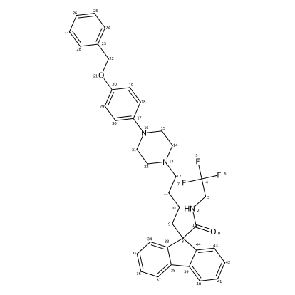 O=C(NCC(F)(F)F)C1(CCCCN2CCN(c3ccc(OCc4ccccc4)cc3)CC2)c2ccccc2-c2ccccc21